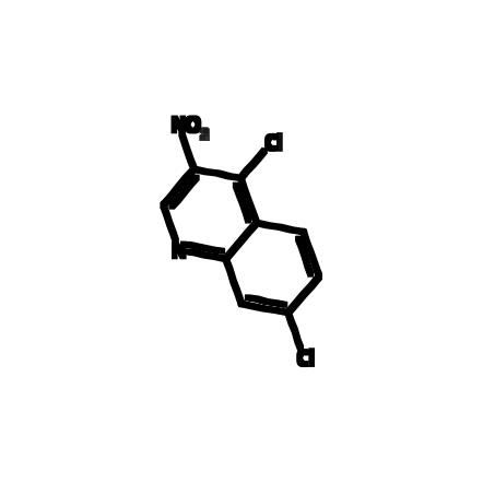 O=[N+]([O-])c1cnc2cc(Cl)ccc2c1Cl